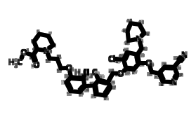 COC(=O)C1CCCCN1CCCOc1cccc(-c2cccc(COc3cc(OCc4cncc(C#N)c4)c(CN4CCCCC4)cc3Cl)c2C)c1C